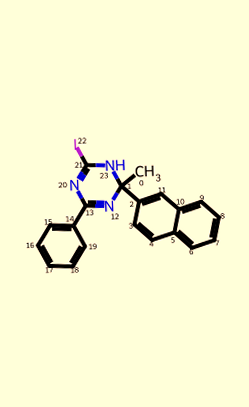 CC1(c2ccc3ccccc3c2)N=C(c2ccccc2)N=C(I)N1